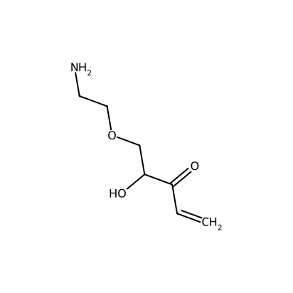 C=CC(=O)C(O)COCCN